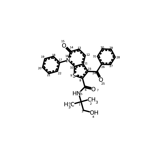 CC(C)(CO)NC(=O)c1sc2c(ccc(=O)n2-c2ccccc2)c1C(=O)c1ccccc1